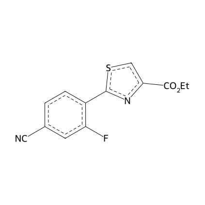 CCOC(=O)c1csc(-c2ccc(C#N)cc2F)n1